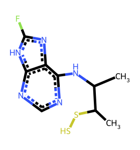 CC(Nc1ncnc2[nH]c(F)nc12)C(C)SS